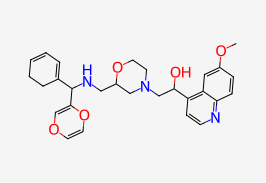 COc1ccc2nccc(C(O)CN3CCOC(CNC(C4=CC=CCC4)C4=COC=CO4)C3)c2c1